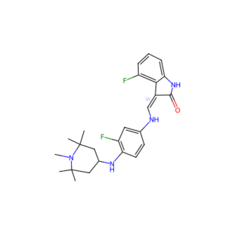 CN1C(C)(C)CC(Nc2ccc(N/C=C3\C(=O)Nc4cccc(F)c43)cc2F)CC1(C)C